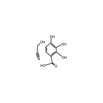 N#CCO.O=C(O)c1ccc(O)c(O)c1O